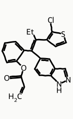 C=CC(=O)Oc1ccccc1/C(=C(\CC)c1ccsc1Cl)c1ccc2[nH]ncc2c1